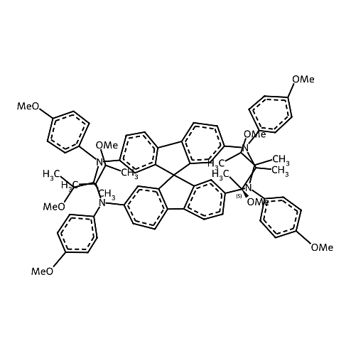 COc1ccc(N(c2ccc3c(c2)C2(c4cc(N(c5ccc(OC)cc5)C(C)C(C)OC)ccc4-3)c3cc(N(c4ccc(OC)cc4)C(C)C(C)OC)ccc3-c3ccc(N(c4ccc(OC)cc4)C(C)[C@H](C)OC)cc32)C(C)C(C)OC)cc1